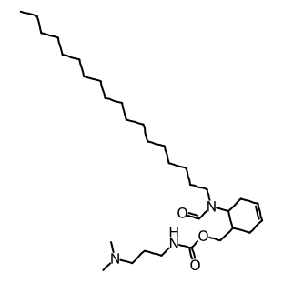 CCCCCCCCCCCCCCCCCCN(C=O)C1CC=CCC1COC(=O)NCCCN(C)C